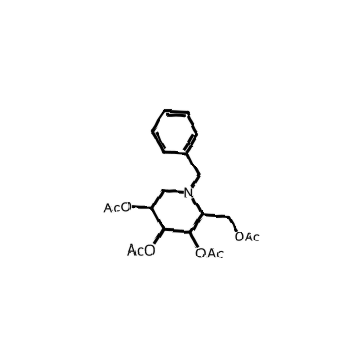 CC(=O)OCC1C(OC(C)=O)C(OC(C)=O)C(OC(C)=O)CN1Cc1ccccc1